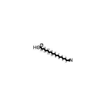 N#CCCCCCCCCCCCCCCCC(=O)O